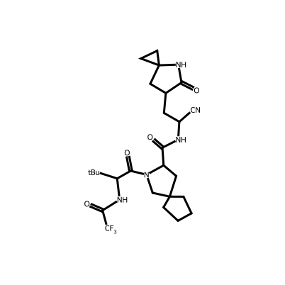 CC(C)(C)C(NC(=O)C(F)(F)F)C(=O)N1CC2(CCCC2)CC1C(=O)NC(C#N)CC1CC2(CC2)NC1=O